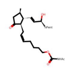 CCCCC[C@H](O)/C=C/[C@H]1[C@H](C)CC(=O)[C@@H]1C/C=C\CCCCOC(=O)NC(C)=O